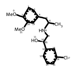 COc1ccc(CC(C)NC[C@H](O)c2cccc(Cl)c2)cc1OC